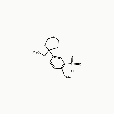 COCC1(c2ccc(OC)c(S(=O)(=O)Cl)c2)CCOCC1